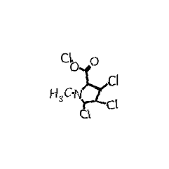 CN1C(Cl)C(Cl)C(Cl)C1C(=O)OCl